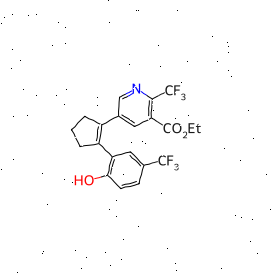 CCOC(=O)c1cc(C2=C(c3cc(C(F)(F)F)ccc3O)CCC2)cnc1C(F)(F)F